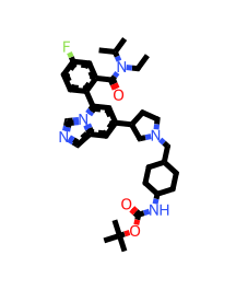 CCN(C(=O)c1cc(F)ccc1-c1cc(C2CCN(CC3CCC(NC(=O)OC(C)(C)C)CC3)C2)cc2cncn12)C(C)C